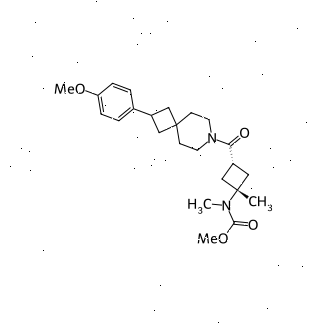 COC(=O)N(C)[C@]1(C)C[C@H](C(=O)N2CCC3(CC2)CC(c2ccc(OC)cc2)C3)C1